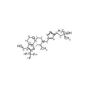 C[C@H]1C[C@@]2(CCN1Cc1cnn(CCC(C)(C)O)c1)OCCc1c2sc(C(F)(F)F)c1CO